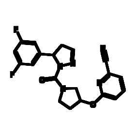 N#Cc1cccc(OC2CCN(C(=O)N3N=CCC3c3cc(F)cc(F)c3)C2)n1